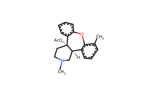 CC(=O)O[C@@]12CCN(C)C[C@@H]1c1cccc(C)c1Oc1ccccc12